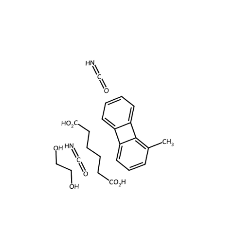 Cc1cccc2c1-c1ccccc1-2.N=C=O.N=C=O.O=C(O)CCCCC(=O)O.OCCO